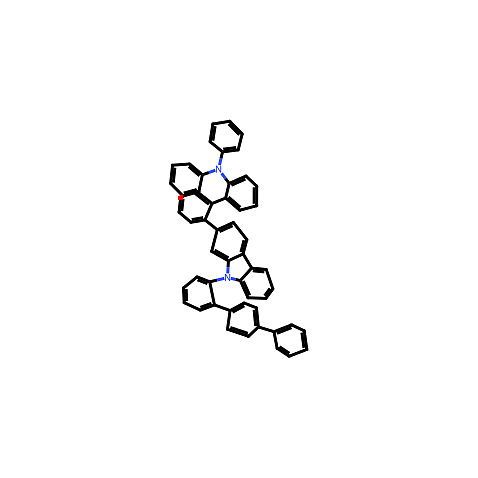 c1ccc(-c2ccc(-c3ccccc3-n3c4ccccc4c4ccc(-c5ccccc5-c5ccccc5N(c5ccccc5)c5ccccc5)cc43)cc2)cc1